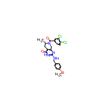 COc1ccc(CNc2nc3c(c(=O)[nH]2)CC(C)N(C(=O)c2ccc(Cl)c(Cl)c2)C3)cc1